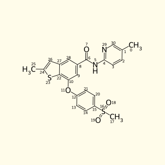 Cc1ccc(NC(=O)c2cc(Oc3ccc(S(C)(=O)=O)cc3)c3sc(C)cc3c2)nc1